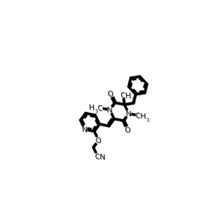 CN1C(=O)C(C)(Cc2ccccc2)N(C)C(=O)/C1=C/c1cccnc1OCC#N